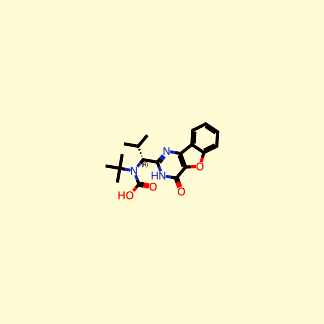 CC(C)[C@H](c1nc2c(oc3ccccc32)c(=O)[nH]1)N(C(=O)O)C(C)(C)C